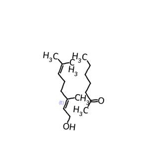 CC(C)=CCC/C(C)=C/CO.CCCCCC(C)=O